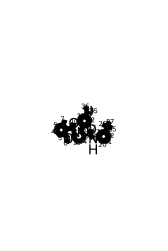 COc1cccc(C)c1C(=O)N1CCC[C@H](C(=O)Nc2cccc(C(C)(C)C)c2)C1c1ccc(N(C)C)cc1